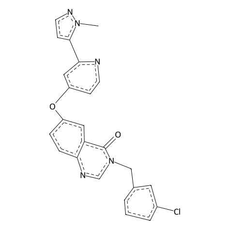 Cn1nccc1-c1cc(Oc2ccc3ncn(Cc4cccc(Cl)c4)c(=O)c3c2)ccn1